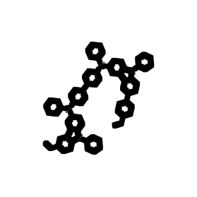 C=Cc1ccc(-c2ccc3c(c2)c2cc(N(c4ccccc4)c4ccc(-c5ccc(N(c6ccccc6)c6ccc7c(c6)c6cc(C=C)ccc6n7-c6ccccc6)cc5)cc4)ccc2n3-c2ccccc2)cc1